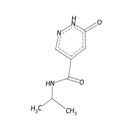 CC(C)NC(=O)c1cn[nH]c(=O)c1